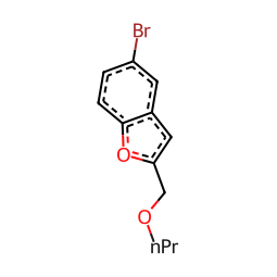 CCCOCc1cc2cc(Br)ccc2o1